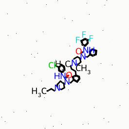 CCCCN1CCC(N(Cc2cccc(C(C)CC(C)N3CCC(N(Cc4ccccc4)C(=O)Nc4cc(F)c(F)c(F)c4)CC3)c2)C(=O)Nc2cccc(Cl)c2)CC1